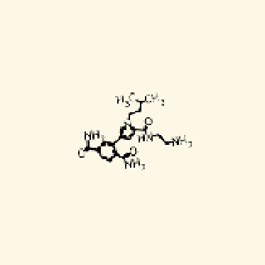 CC(C)CCn1cc(-c2cc(C(N)=O)ccc2C(N)=O)cc1C(=O)NCCN